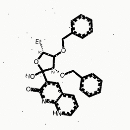 CC[C@H]1OC(O)(c2cc3ccc[nH]c-3nc2=O)[C@@H](OCc2ccccc2)C1OCc1ccccc1